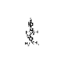 CC(C)C1=CC2C=NC(C(=O)N[C@H]3CN(c4ccc(C#N)nn4)C[C@H]3O)=C2C=C1